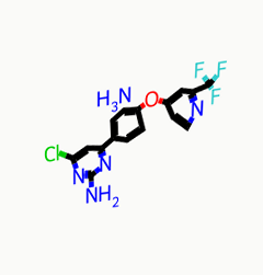 N.Nc1nc(Cl)cc(-c2ccc(Oc3ccnc(C(F)(F)F)c3)cc2)n1